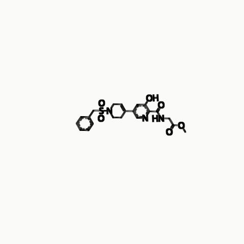 COC(=O)CNC(=O)c1ncc(C2=CCN(S(=O)(=O)Cc3ccccc3)CC2)cc1O